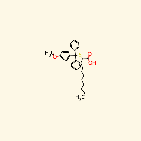 CCCCCCCCCC(SC(c1ccccc1)(c1ccccc1)c1ccc(OC)cc1)C(=O)O